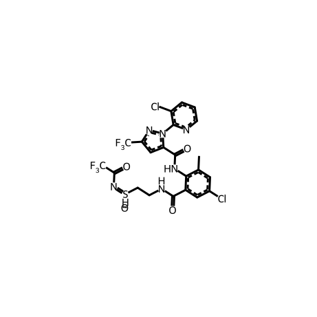 Cc1cc(Cl)cc(C(=O)NCC/[SH](=O)=N\C(=O)C(F)(F)F)c1NC(=O)c1cc(C(F)(F)F)nn1-c1ncccc1Cl